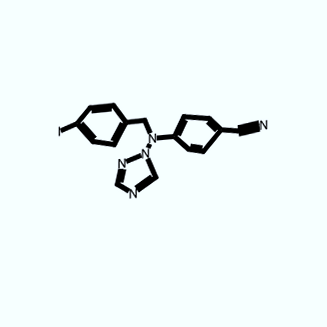 N#Cc1ccc(N(Cc2ccc(I)cc2)n2cncn2)cc1